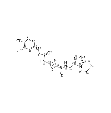 O=C(COc1ccc(Cl)c(F)c1)NC12CC(C(=O)NCc3nnc4n3CCCC4)(C1)C2